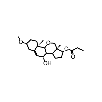 CCC(=O)OC1CCC2C3C(OC[C@]12C)[C@@]1(C)CC[C@H](OC)CC1=C[C@@H]3O